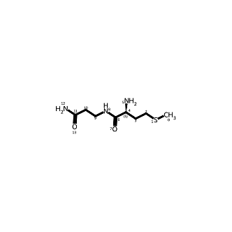 CSCC[C@H](N)C(=O)NCCC(N)=O